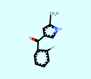 O=C(O)c1cc(C(=O)c2ccccc2F)c[nH]1